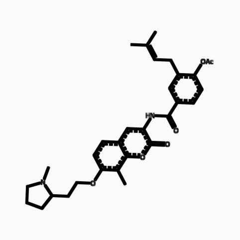 CC(=O)Oc1ccc(C(=O)Nc2cc3ccc(OCCC4CCCN4C)c(C)c3oc2=O)cc1CC=C(C)C